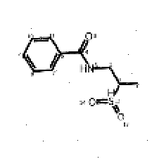 CC(CNC(=O)c1cc[c]cc1)[SH](=O)=O